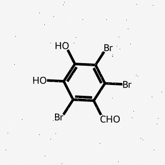 O=Cc1c(Br)c(O)c(O)c(Br)c1Br